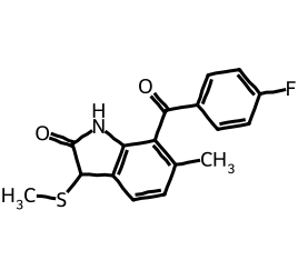 CSC1C(=O)Nc2c1ccc(C)c2C(=O)c1ccc(F)cc1